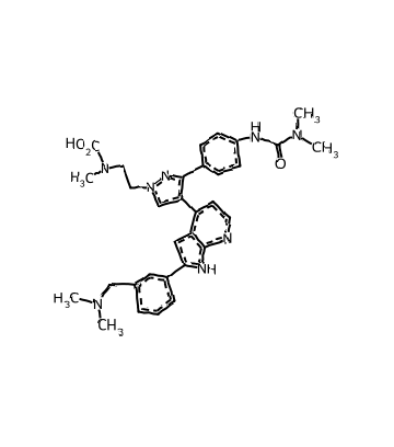 CN(C)Cc1cccc(-c2cc3c(-c4cn(CCN(C)C(=O)O)nc4-c4ccc(NC(=O)N(C)C)cc4)ccnc3[nH]2)c1